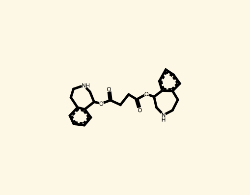 O=C(CCC(=O)OC1CNCCc2ccccc21)OC1CNCCc2ccccc21